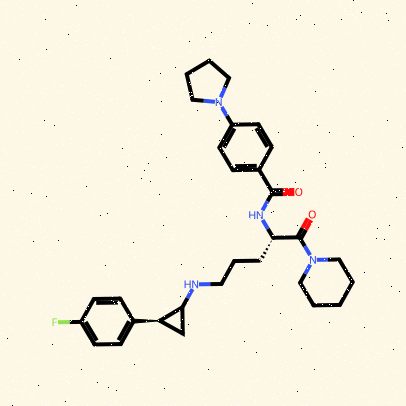 O=C(N[C@@H](CCCNC1C[C@H]1c1ccc(F)cc1)C(=O)N1CCCCC1)c1ccc(N2CCCC2)cc1